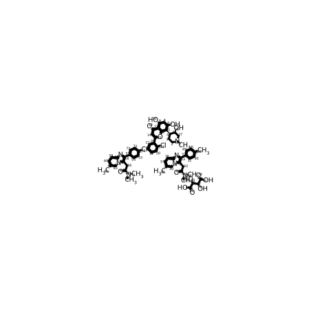 CN1CC[C@@H](c2c(O)cc(O)c3c(=O)cc(-c4ccccc4Cl)oc23)[C@@H](O)C1.Cc1ccc(-c2nc3ccc(C)cn3c2CC(=O)N(C)C)cc1.Cc1ccc(-c2nc3ccc(C)cn3c2CC(=O)N(C)C)cc1.O=C(O)C(O)C(O)C(=O)O